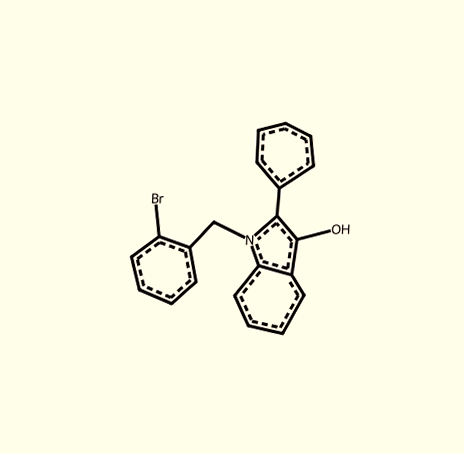 Oc1c(-c2ccccc2)n(Cc2ccccc2Br)c2ccccc12